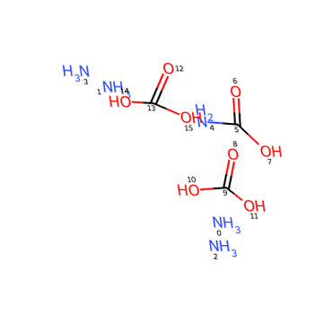 N.N.N.N.NC(=O)O.O=C(O)O.O=C(O)O